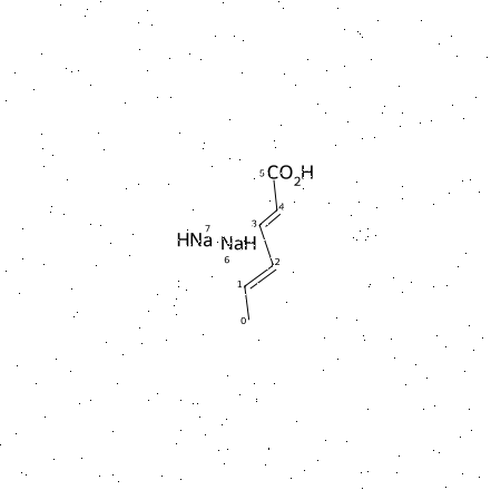 C/C=C/C=C/C(=O)O.[NaH].[NaH]